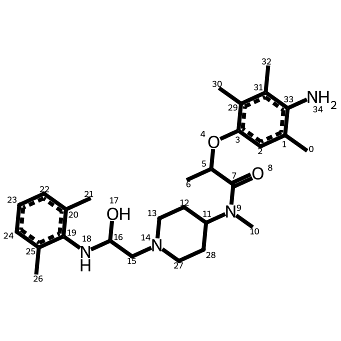 Cc1cc(OC(C)C(=O)N(C)C2CCN(CC(O)Nc3c(C)cccc3C)CC2)c(C)c(C)c1N